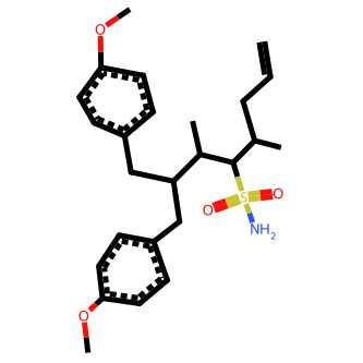 C=CCC(C)C(C(C)C(Cc1ccc(OC)cc1)Cc1ccc(OC)cc1)S(N)(=O)=O